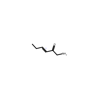 CC/C=C/C(=O)CN